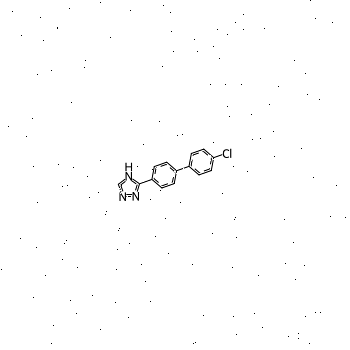 Clc1ccc(-c2ccc(-c3nnc[nH]3)cc2)cc1